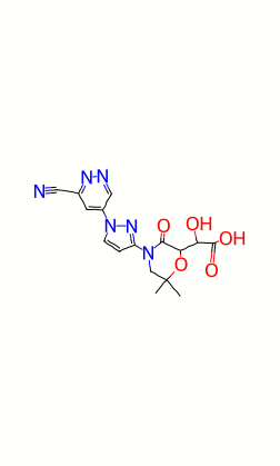 CC1(C)CN(c2ccn(-c3cnnc(C#N)c3)n2)C(=O)C(C(O)C(=O)O)O1